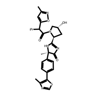 Cc1cc(C(C(=O)N2C[C@H](O)C[C@H]2C2=NC(=O)[C@@](C)(c3ccc(-c4scnc4C)cc3)N2)C(C)C)on1